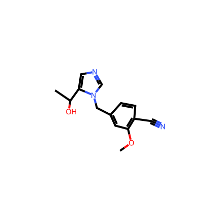 COc1cc(Cn2cncc2C(C)O)ccc1C#N